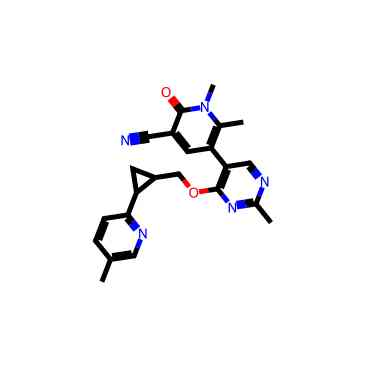 Cc1ccc(C2CC2COc2nc(C)ncc2-c2cc(C#N)c(=O)n(C)c2C)nc1